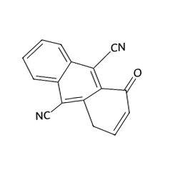 N#Cc1c2c(c(C#N)c3ccccc13)C(=O)C=CC2